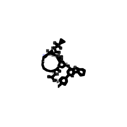 CC(=O)N[C@H]1CCCCC/C=C\[C@@H]2C[C@@]2(C(=O)NS(=O)(=O)C2CC2)NC(=O)[C@@H]2C[C@@H](Oc3cc(-c4ccc(F)cc4)nc4c3oc3ccccc34)CN2C1=O